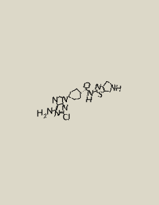 Nc1nc(Cl)nc2c1ncn2[C@H]1CC[C@@H](C(=O)Nc2nc3c(s2)CNCC3)CC1